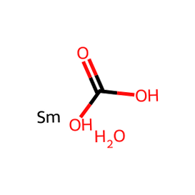 O.O=C(O)O.[Sm]